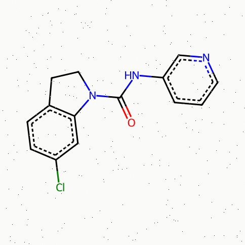 O=C(Nc1cccnc1)N1CCc2ccc(Cl)cc21